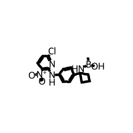 CB(O)NC1(c2ccc(Nc3nc(Cl)ccc3[N+](=O)[O-])cc2)CCC1